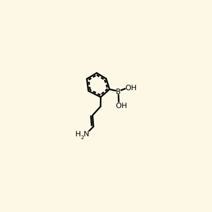 NC=CCc1ccccc1B(O)O